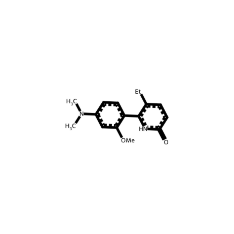 CCc1ccc(=O)[nH]c1-c1ccc(N(C)C)cc1OC